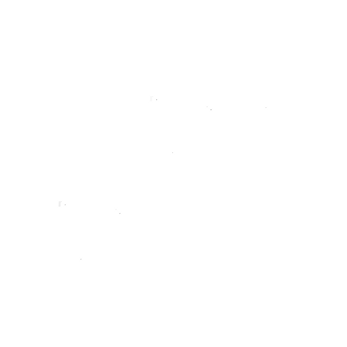 NCCN1CCNCCN(CC(O)CN2CCNCCNCC2)CC1